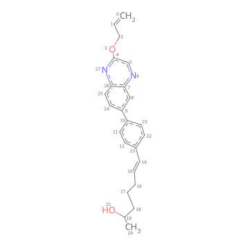 C=CCOc1cnc2cc(-c3ccc(C=CCCCC(C)O)cc3)ccc2n1